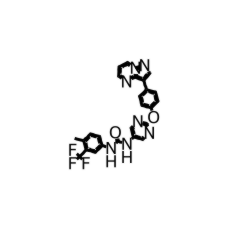 Cc1ccc(NC(=O)Nc2cnc(Oc3ccc(-c4cnn5cccnc45)cc3)nc2)cc1C(F)(F)F